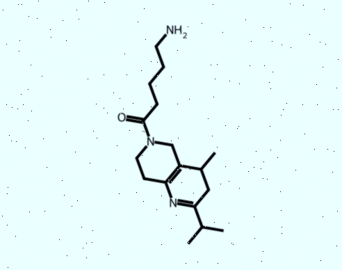 CC(C)C1=NC2=C(CN(C(=O)CCCCN)CC2)C(C)C1